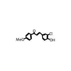 COc1ccc(C(=O)/C=C/c2ccc(O)c(Cl)c2)cc1